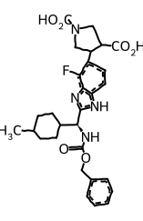 CC1CCC([C@H](NC(=O)OCc2ccccc2)c2nc3c(F)c(C4CN(C(=O)O)CC4C(=O)O)ccc3[nH]2)CC1